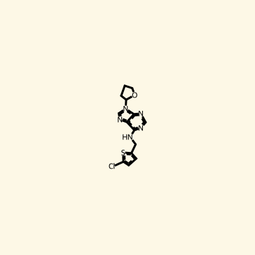 Clc1ccc(CNc2ncnc3c2ncn3C2CCCO2)s1